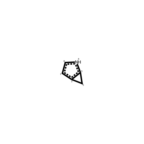 c1cc2c([nH]1)C2